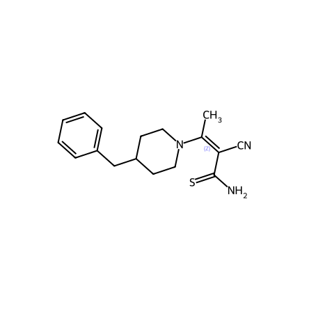 C/C(=C(\C#N)C(N)=S)N1CCC(Cc2ccccc2)CC1